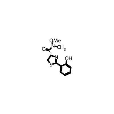 CON(C)C(=O)[C@H]1CSC(c2ccccc2O)=N1